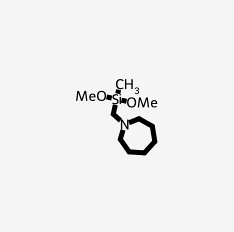 CO[Si](C)(CN1CCCCCC1)OC